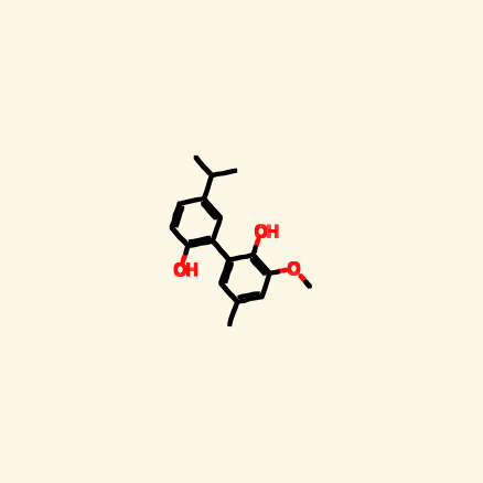 COc1cc(C)cc(-c2cc(C(C)C)ccc2O)c1O